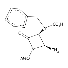 CON1C(=O)[C@@H](N(Cc2ccccc2)C(=O)O)[C@H]1C